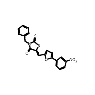 O=C1C(=Cc2ccc(-c3cccc([N+](=O)[O-])c3)o2)SC(=S)N1Cc1ccccc1